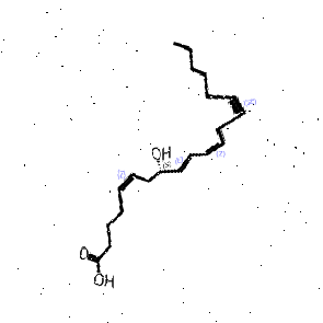 CCCCC/C=C\C/C=C\C=C\[C@@H](O)C/C=C\CCCC(=O)O